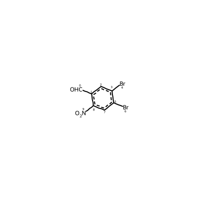 O=Cc1cc(Br)c(Br)cc1[N+](=O)[O-]